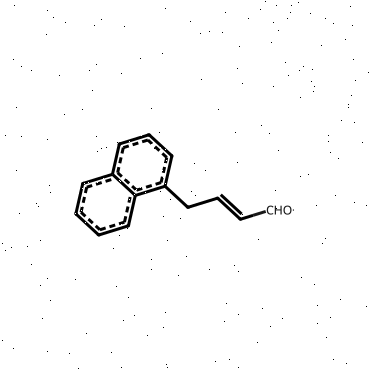 O=[C]C=CCc1cccc2ccccc12